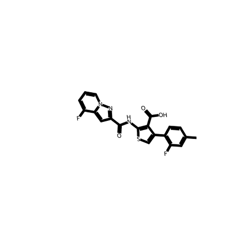 Cc1ccc(-c2csc(NC(=O)c3cc4c(F)cccn4n3)c2C(=O)O)c(F)c1